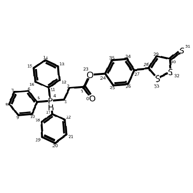 O=C(CC[PH](c1ccccc1)(c1ccccc1)c1ccccc1)Oc1ccc(-c2cc(=S)ss2)cc1